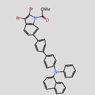 COC(=O)n1c(Br)c(Br)c2ccc(-c3ccc(-c4ccc(N(c5ccccc5)c5cccc6ccccc56)cc4)cc3)cc21